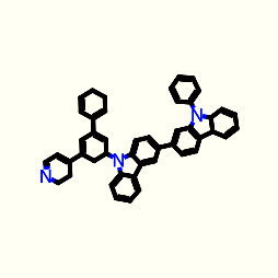 C1=CC2c3ccc(-c4ccc5c(c4)c4ccccc4n5C4C=C(C5=CCCC=C5)C=C(C5=CC=NCC5)C4)cc3N(c3ccccc3)C2C=C1